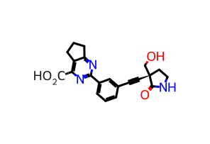 O=C(O)c1nc(-c2cccc(C#C[C@@]3(CO)CCNC3=O)c2)nc2c1CCC2